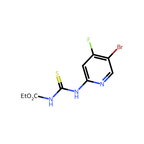 CCOC(=O)NC(=S)Nc1cc(F)c(Br)cn1